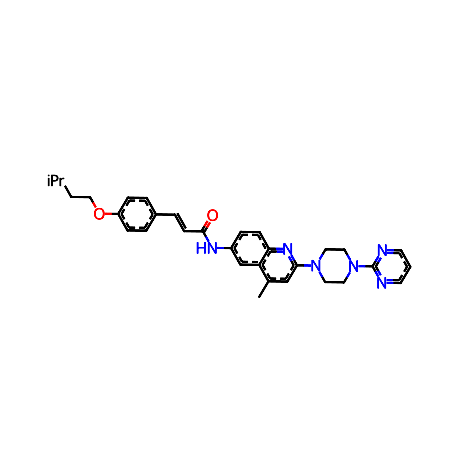 Cc1cc(N2CCN(c3ncccn3)CC2)nc2ccc(NC(=O)/C=C/c3ccc(OCCC(C)C)cc3)cc12